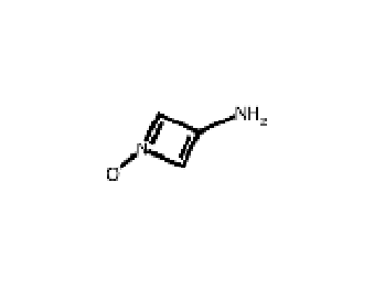 NC1=C[N+]([O-])=C1